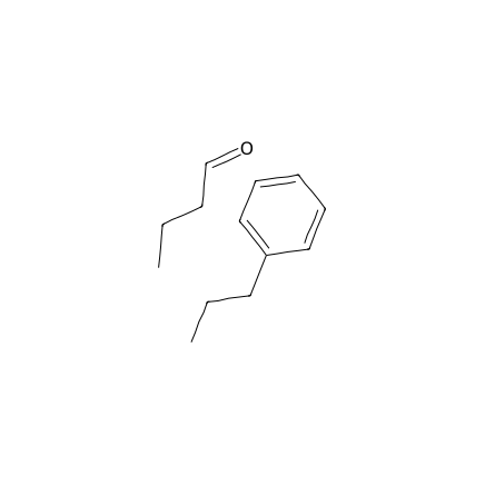 CCCC=O.CCCc1ccccc1